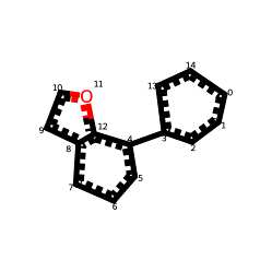 c1ccc(-c2cccc3ccoc23)cc1